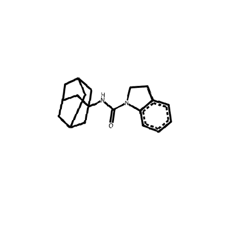 O=C(NC12CC3CC(CC(C3)C1)C2)N1CCc2ccccc21